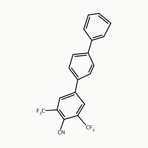 N#Cc1c(C(F)(F)F)cc(-c2ccc(-c3ccccc3)cc2)cc1C(F)(F)F